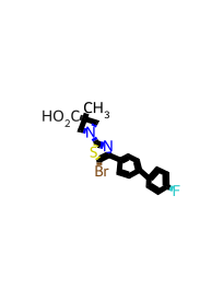 CC1(C(=O)O)CN(c2nc(-c3ccc(-c4ccc(F)cc4)cc3)c(Br)s2)C1